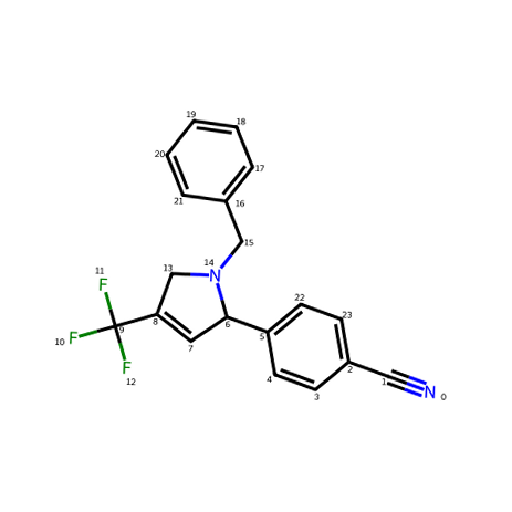 N#Cc1ccc(C2C=C(C(F)(F)F)CN2Cc2ccccc2)cc1